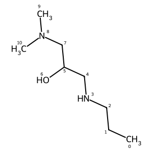 CCCNCC(O)CN(C)C